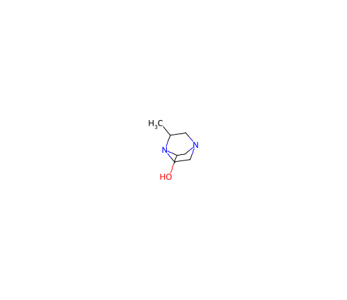 CC1CN2CCN1C(O)C2